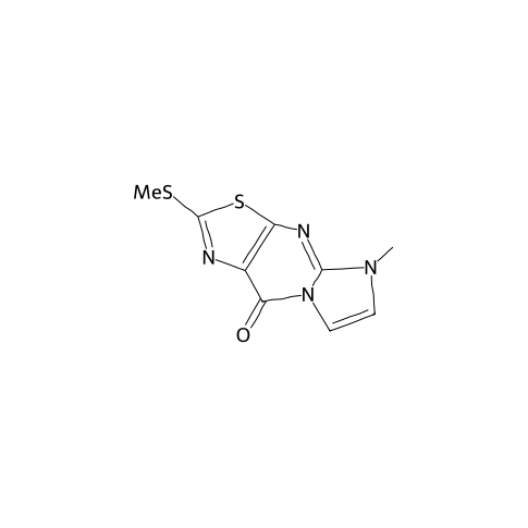 CSc1nc2c(=O)n3ccn(C)c3nc2s1